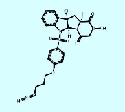 CN1CC(=O)N2[C@@H](C[C@]3(C)c4ccccc4N(S(=O)(=O)c4ccc(OCCCN=[N+]=[N-])cc4)[C@H]23)C1=O